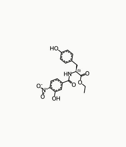 CCOC(=O)[C@H](Cc1ccc(O)cc1)NC(=O)c1ccc([N+](=O)[O-])c(O)c1